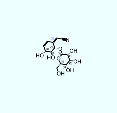 N#C/C=C1/C=C[C@@H](O)[C@H](O)[C@H]1O[C@@H]1O[C@H](CO)[C@@H](O)[C@H](O)[C@H]1O